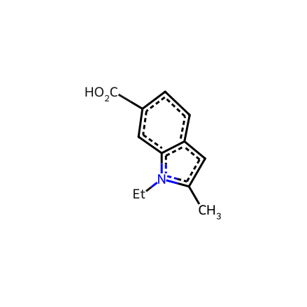 CCn1c(C)cc2ccc(C(=O)O)cc21